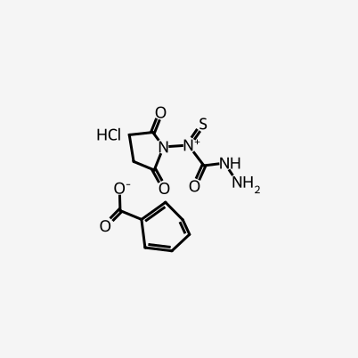 Cl.NNC(=O)[N+](=S)N1C(=O)CCC1=O.O=C([O-])c1ccccc1